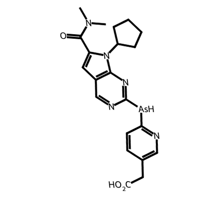 CN(C)C(=O)c1cc2cnc([AsH]c3ccc(CC(=O)O)cn3)nc2n1C1CCCC1